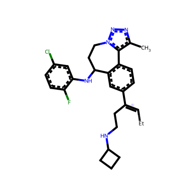 CC/C=C(\CCNC1CCC1)c1ccc2c(c1)C(Nc1cc(Cl)ccc1F)CCn1nnc(C)c1-2